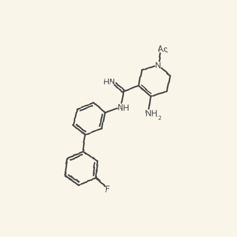 CC(=O)N1CCC(N)=C(C(=N)Nc2cccc(-c3cccc(F)c3)c2)C1